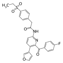 CCS(=O)(=O)c1ccc(CC(=O)Nc2ccc(-c3ccoc3)c(C(=O)c3ccc(F)cc3)n2)cc1